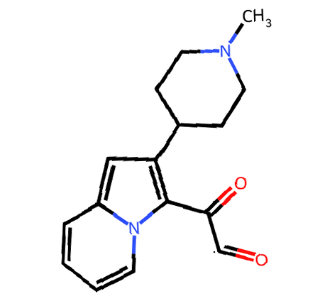 CN1CCC(c2cc3ccccn3c2C(=O)[C]=O)CC1